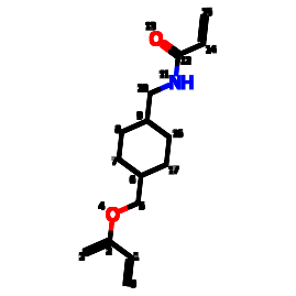 C=CC(=C)OCC1CCC(CNC(=O)C=C)CC1